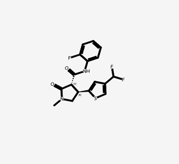 CN1C[C@H](c2cc(C(F)F)cs2)[C@@H](C(=O)Nc2ccccc2F)C1=O